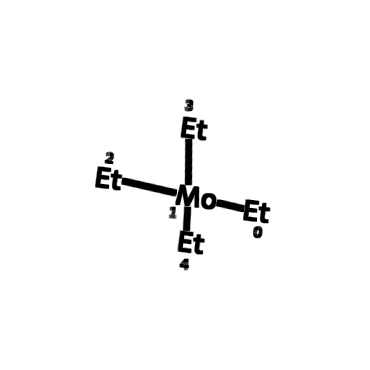 C[CH2][Mo]([CH2]C)([CH2]C)[CH2]C